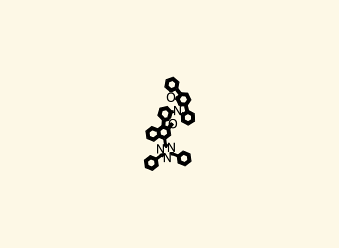 c1ccc(-c2nc(-c3ccccc3)nc(-c3cc4oc5c(-n6c7ccccc7c7ccc8c9ccccc9oc8c76)cccc5c4c4ccccc34)n2)cc1